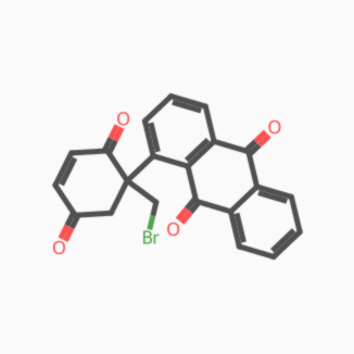 O=C1C=CC(=O)C(CBr)(c2cccc3c2C(=O)c2ccccc2C3=O)C1